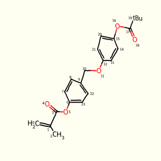 C=C(C)C(=O)Oc1ccc(COc2ccc(OC(=O)C(C)(C)C)cc2)cc1